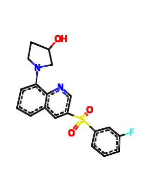 O=S(=O)(c1cccc(F)c1)c1cnc2c(N3CCC(O)C3)cccc2c1